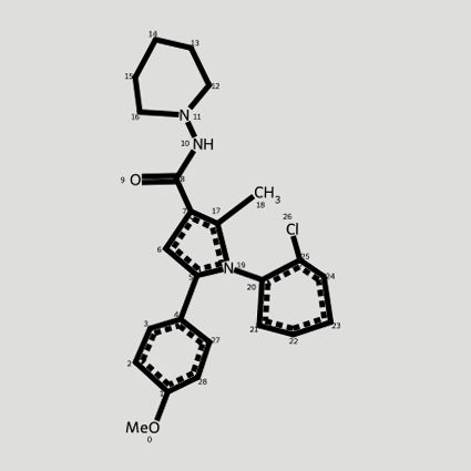 COc1ccc(-c2cc(C(=O)NN3CCCCC3)c(C)n2-c2ccccc2Cl)cc1